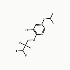 CC(C)Oc1cnc(OCC(F)(F)C(F)F)c(Cl)c1